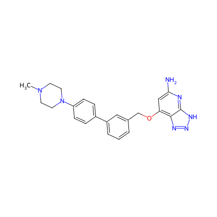 CN1CCN(c2ccc(-c3cccc(COc4cc(N)nc5[nH]nnc45)c3)cc2)CC1